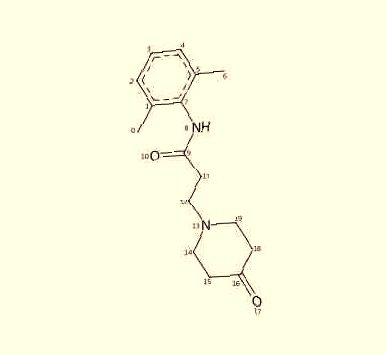 Cc1cccc(C)c1NC(=O)CCN1CCC(=O)CC1